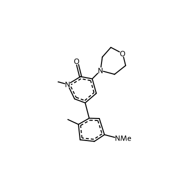 CNc1ccc(C)c(-c2cc(N3CCOCC3)c(=O)n(C)c2)c1